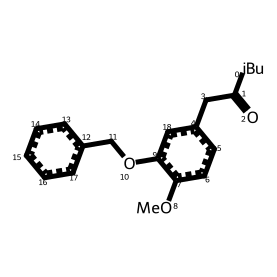 CCC(C)C(=O)Cc1ccc(OC)c(OCc2ccccc2)c1